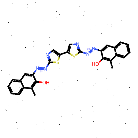 Cc1c(O)c(/N=N/c2ncc(-c3cnc(/N=N/c4cc5ccccc5c(C)c4O)s3)s2)cc2ccccc12